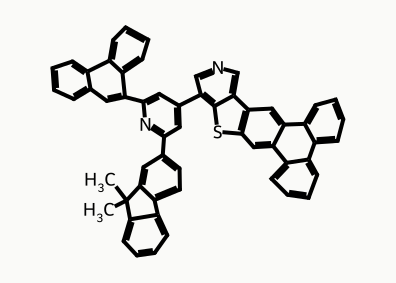 CC1(C)c2ccccc2-c2ccc(-c3cc(-c4cncc5c4sc4cc6c7ccccc7c7ccccc7c6cc45)cc(-c4cc5ccccc5c5ccccc45)n3)cc21